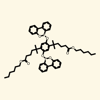 CCCCCCOC(=O)CCCC(C)(C)c1cc(OP2Oc3ccccc3-c3ccccc32)c(C(C)(C)CCCC(=O)OCCCCCC)cc1OP1Oc2ccccc2-c2ccccc21